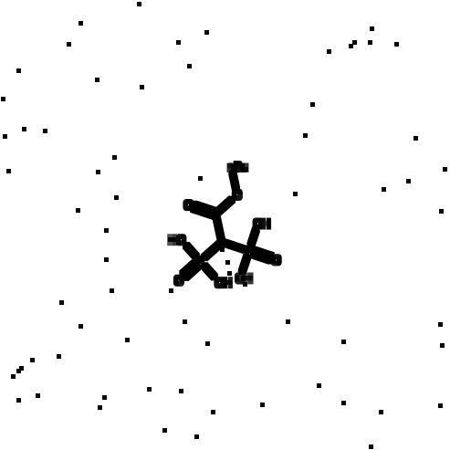 CCCCOC(=O)C(P(=O)(O)O)P(=O)(O)O